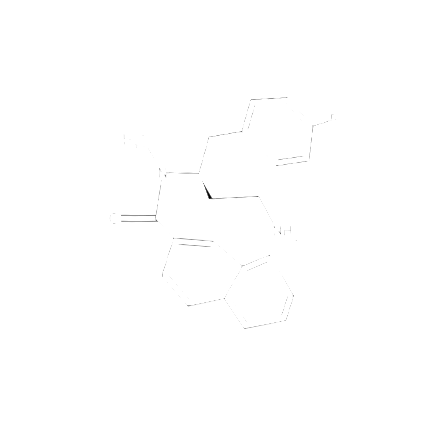 CN(C(=O)c1ccc2ccccc2c1)[C@H](CCN)Cc1ccc(F)cc1